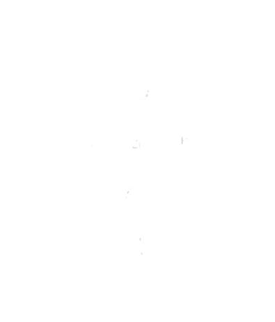 C1=C(P(C2CCCCC2)C2CCCCC2)[CH]([Zr+2][CH]2C(P(C3CCCCC3)C3CCCCC3)=Cc3ccccc32)c2ccccc21.[Cl-].[Cl-]